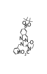 CC1(C)OB(c2ccc3nc(N(Cc4ccccc4)C[C@@H]4COCCN4C(=O)O)ncc3c2)OC1(C)C